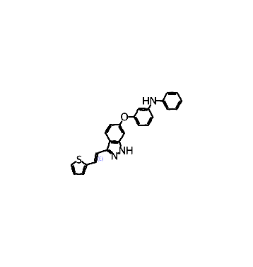 C(=C\c1n[nH]c2cc(Oc3cccc(Nc4ccccc4)c3)ccc12)/c1cccs1